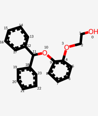 OCCOc1ccccc1OC(c1ccccc1)c1ccccc1